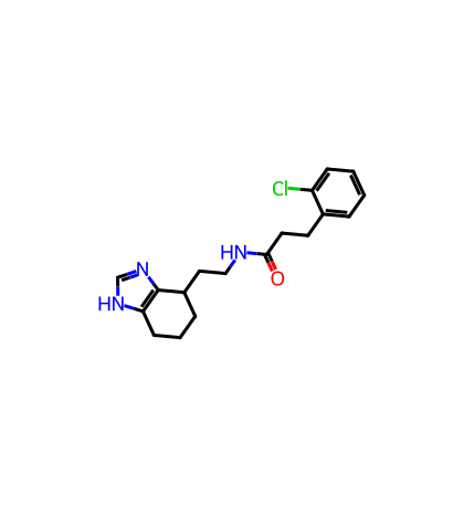 O=C(CCc1ccccc1Cl)NCCC1CCCc2[nH]cnc21